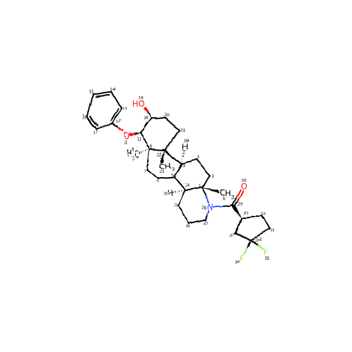 C[C@]12CC[C@H]3C(CC[C@@]4(C)[C@@H](Oc5ccccc5)[C@@H](O)CC[C@]34C)[C@@H]1CCCN2C(=O)[C@H]1CCC(F)(F)C1